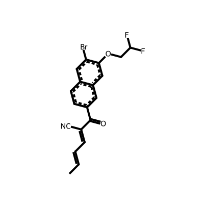 C/C=C/C=C(\C#N)C(=O)c1ccc2cc(Br)c(OCC(F)F)cc2c1